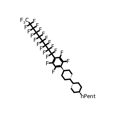 CCCCC[C@H]1CC[C@H]([C@H]2CC[C@H](c3c(F)c(F)c(C(F)(F)C(F)(F)C(F)(F)C(F)(F)C(F)(F)C(F)(F)C(F)(F)C(F)(F)C(F)(F)F)c(F)c3F)CC2)CC1